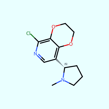 CN1CCC[C@H]1c1cnc(Cl)c2c1OCCO2